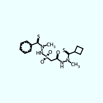 CN(NS(=O)(=O)CC(=O)NN(C)C(=S)C1CCC1)C(=S)c1ccccc1